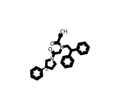 C#CC(=O)N(CC(=O)N1CC[C@@H](c2ccccc2)C1)CC(c1ccccc1)c1ccccc1